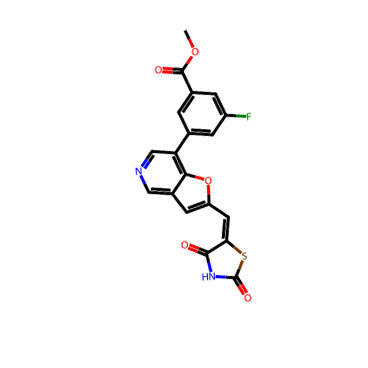 COC(=O)c1cc(F)cc(-c2cncc3cc(C=C4SC(=O)NC4=O)oc23)c1